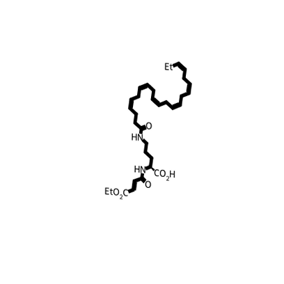 CC/C=C\C/C=C\C/C=C\C/C=C\C/C=C\C/C=C\CCC(=O)NCCC[C@H](NC(=O)/C=C/C(=O)OCC)C(=O)O